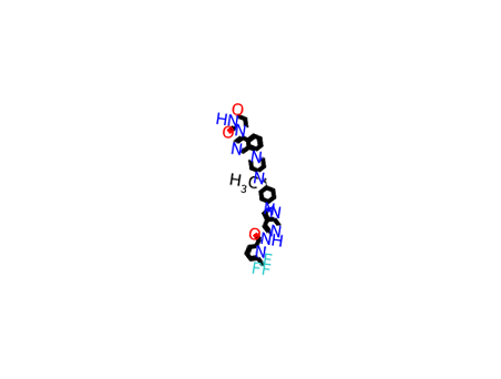 CN(C[C@H]1CC[C@H](n2cc3cc(NC(=O)c4cccc(C(F)(F)F)n4)ncc3n2)CC1)C1CCN(c2cccc3c(N4CCC(=O)NC4=O)cncc23)CC1